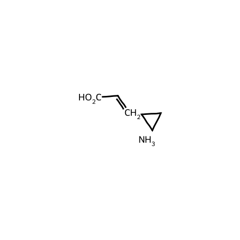 C1CC1.C=CC(=O)O.N